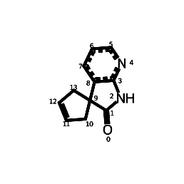 O=C1Nc2ncccc2C12CC=CC2